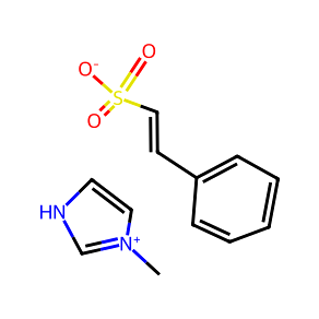 C[n+]1cc[nH]c1.O=S(=O)([O-])C=Cc1ccccc1